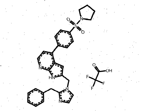 O=C(O)C(F)(F)F.O=S(=O)(c1ccc(-c2ccnc3[nH]c(Cn4ccnc4Cc4ccccc4)cc23)cc1)N1CCCC1